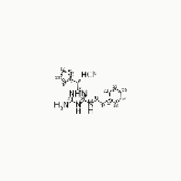 Cl.N=C(N)NC(=NCCc1cccs1)NCCc1ccccc1